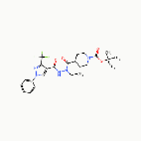 CCN(NC(=O)c1cn(-c2ccccc2)nc1C(F)(F)F)C(=O)C1CCN(C(=O)OC(C)(C)C)CC1